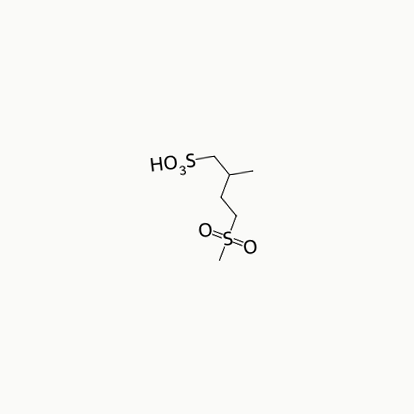 CC(CCS(C)(=O)=O)CS(=O)(=O)O